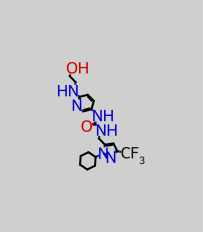 O=C(NCc1cc(C(F)(F)F)nn1C1CCCCC1)Nc1ccc(NCCO)nc1